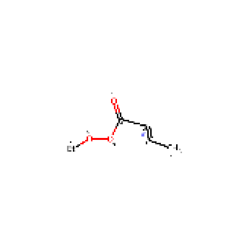 C/C=C/C(=O)OOCC